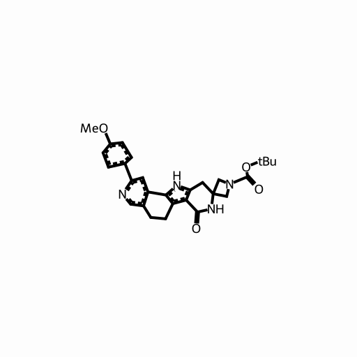 COc1ccc(-c2cc3c(cn2)CCc2c-3[nH]c3c2C(=O)NC2(C3)CN(C(=O)OC(C)(C)C)C2)cc1